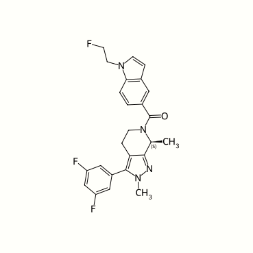 C[C@H]1c2nn(C)c(-c3cc(F)cc(F)c3)c2CCN1C(=O)c1ccc2c(ccn2CCF)c1